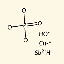 O=P([O-])([O-])[O-].[Cu+2].[OH-].[SbH+2]